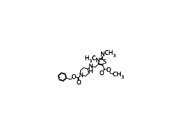 CCOC(=O)c1sc(=NC)n(C)c1CNC1CCN(C(=O)OCc2ccccc2)CC1